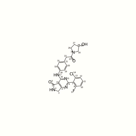 O=C1NCc2nc(-c3c(F)cccc3Cl)nc(Nc3ccc(CC(=O)N4CCC(O)C4)cc3)c21